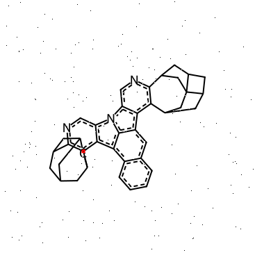 c1ccc2c(c1)cc1c3c4c(ncc3n3c5cnc6c(c5c2c13)C1CC2CC(CC6C2)C1)C1CC2CC3CC4CC23C1